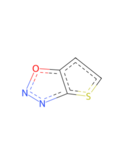 c1cc2onnc2s1